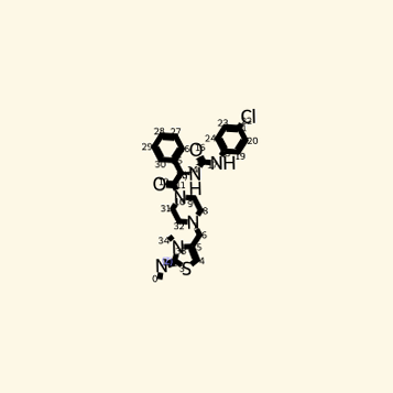 C/N=c1\scc(CN2CCN(C(=O)[C@H](NC(=O)Nc3ccc(Cl)cc3)c3ccccc3)CC2)n1C